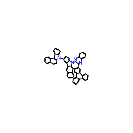 c1ccc2cc3c(cc2c1)c1cc(-n2c4ccccc4c4c5ccccc5ccc42)ccc1n3-c1nc2ccccc2nc1-c1ccc2c3ccccc3c3ccccc3c2c1